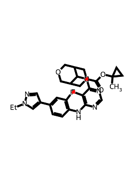 CCn1cc(-c2ccc(Nc3ncnc(OC4C5COCC4CN(C(=O)OC4(C)CC4)C5)c3F)c(F)c2)cn1